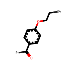 CCC(=O)c1ccc(OCCC(C)C)cc1